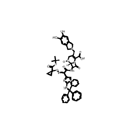 CC(C)(C)OC(=O)C1(O/N=C(\C(=O)NC2C(=O)N3C(C(=O)O)=C(CN4Cc5cc(O)c(O)cc5C4)C[S+]([O-])[C@@H]23)c2csc(NC(c3ccccc3)(c3ccccc3)c3ccccc3)n2)CC1